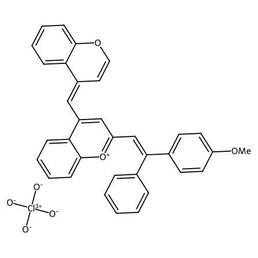 COc1ccc(C(=Cc2cc(C=C3C=COc4ccccc43)c3ccccc3[o+]2)c2ccccc2)cc1.[O-][Cl+3]([O-])([O-])[O-]